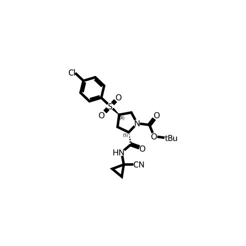 CC(C)(C)OC(=O)N1C[C@H](S(=O)(=O)c2ccc(Cl)cc2)C[C@H]1C(=O)NC1(C#N)CC1